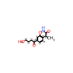 CC1C(=O)NOc2cc(C(=O)CCCO)ccc21